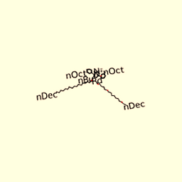 CCCCCCCCCCCCCCCCCCCCCCCCCC=[CH][Pd][CH]=CCCCCCCCCCCCCCCCCCCCCCCCCC.CCCCCCCCc1cccc(C2=CC(CCCC)=C(c3cccc(CCCCCCCC)c3)[N+]2=[N-])c1